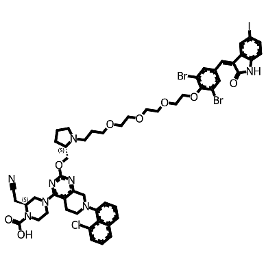 N#CC[C@H]1CN(c2nc(OC[C@@H]3CCCN3CCCOCCOCCOCCOc3c(Br)cc(C=C4C(=O)Nc5ccc(I)cc54)cc3Br)nc3c2CCN(c2cccc4cccc(Cl)c24)C3)CCN1C(=O)O